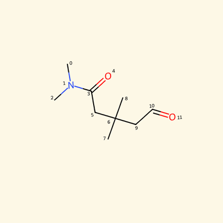 CN(C)C(=O)CC(C)(C)CC=O